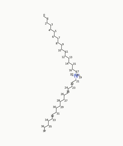 CCCCCCCCCCCCCCCCCC[N+](C)(C)CCCCCCCCCCCCCCCCC